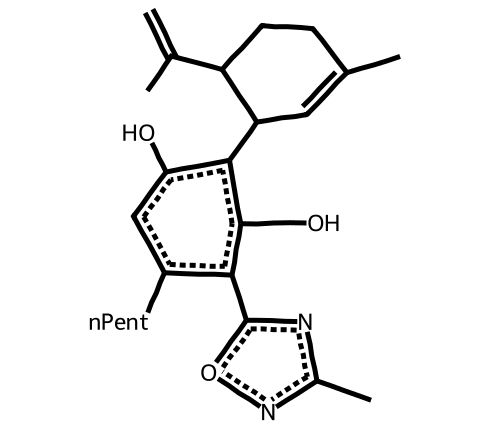 C=C(C)C1CCC(C)=CC1c1c(O)cc(CCCCC)c(-c2nc(C)no2)c1O